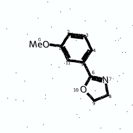 COc1cccc(C2=NCCO2)c1